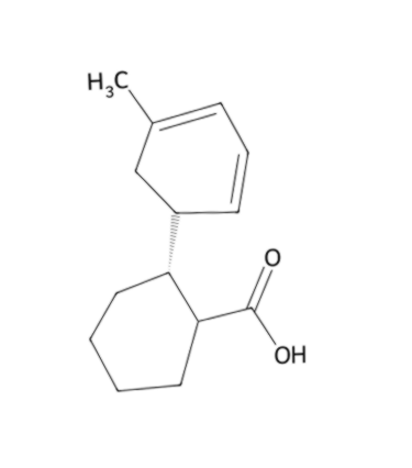 CC1=CC=CC([C@H]2CCCCC2C(=O)O)C1